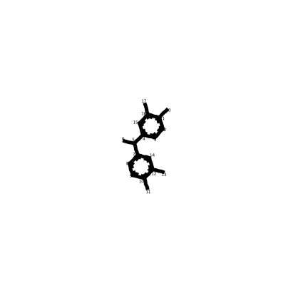 Cc1ccc(C(C)c2ccc(C)c(C)c2)cc1C